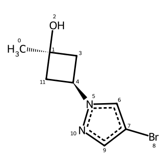 C[C@]1(O)C[C@@H](n2cc(Br)cn2)C1